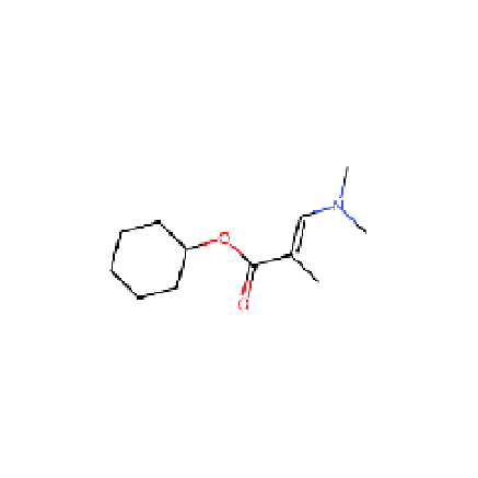 CC(=CN(C)C)C(=O)OC1CCCCC1